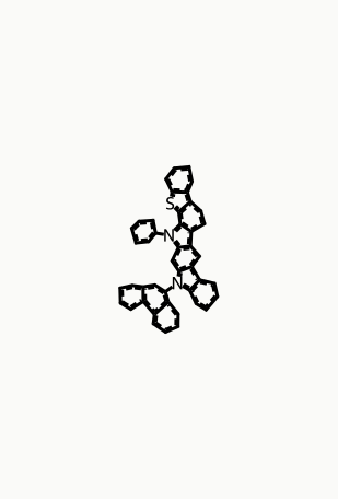 c1ccc(-n2c3cc4c(cc3c3ccc5c6ccccc6sc5c32)c2ccccc2n4-c2cc3ccccc3c3ccccc23)cc1